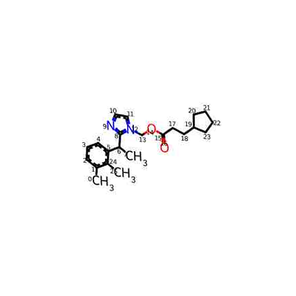 Cc1cccc(C(C)c2nccn2COC(=O)CCC2CCCC2)c1C